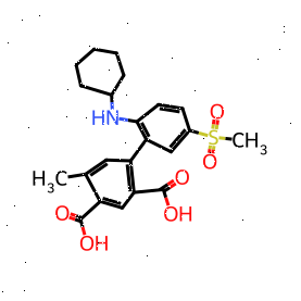 Cc1cc(-c2cc(S(C)(=O)=O)ccc2NC2CCCCC2)c(C(=O)O)cc1C(=O)O